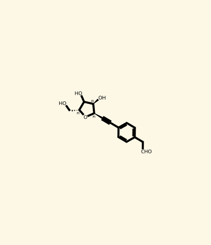 O=CCc1ccc(C#C[C@H]2O[C@H](CO)C(O)[C@H]2O)cc1